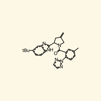 C=C1CC(c2nc3cc(C(C)(C)C)ccc3[nH]2)N(C(=O)c2cc(C)ccc2-n2nccn2)C1